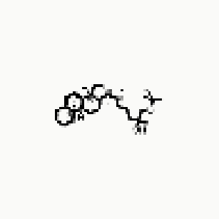 CC(=O)OCC(C)(O)CCC[C@@H](C)[C@H]1CC[C@H]2C3=CC=C4CCCC[C@]4(C)[C@H]3CC[C@]12C